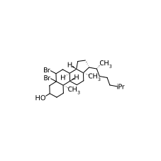 CC(C)CCC[C@@H](C)[C@H]1CC[C@H]2[C@@H]3CC(Br)C4(Br)CC(O)CC[C@]4(C)[C@H]3CC[C@]12C